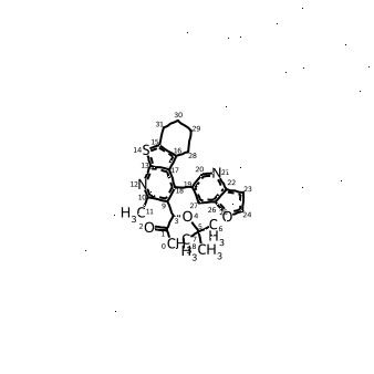 CC(=O)[C@@H](OC(C)(C)C)c1c(C)nc2sc3c(c2c1-c1cnc2ccoc2c1)CCCC3